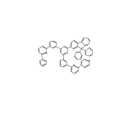 c1ccc(C2(c3ccccc3)c3ccccc3-c3ccc(-c4cc(-c5cccc(-c6cccc(-c7ccncc7)n6)c5)cc(-c5cccc(-c6cccc(-c7ccncc7)n6)c5)c4)cc32)cc1